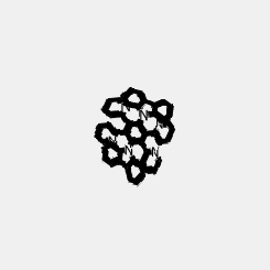 c1ccc(-c2c(-c3ccccn3)c(-n3c4ccccc4c4ccccc43)c(-c3ccccn3)c(-c3ccccn3)c2-n2c3ccccc3c3ccccc32)nc1